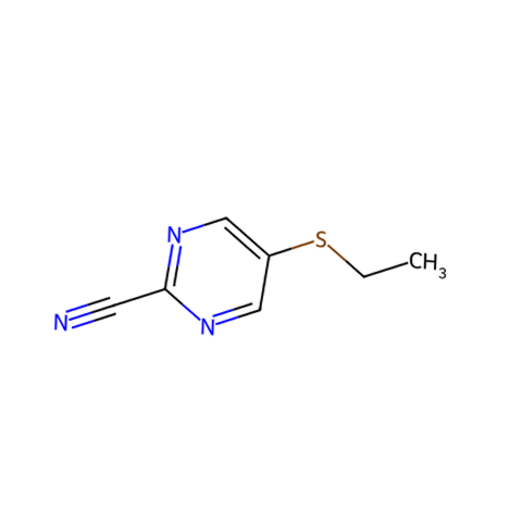 CCSc1cnc(C#N)nc1